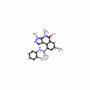 CCn1ncc2c3c(C(C)Nc4ccccc4C(=O)O)cc(C)cc3c(=O)n(C)c21